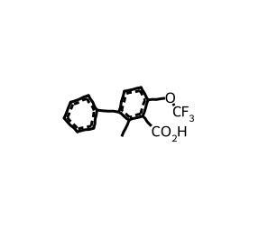 Cc1c(-c2ccccc2)ccc(OC(F)(F)F)c1C(=O)O